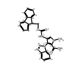 Cn1cc(NC(=O)OCC2c3ccccc3-c3ccccc32)c(-n2nnc3ccccc32)c1C(=O)O